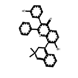 CC1(C)C=c2ccccc2=C(c2c(O)ccc3c(=O)c(-c4cccc(O)c4)c(-c4ccccc4)oc23)C1